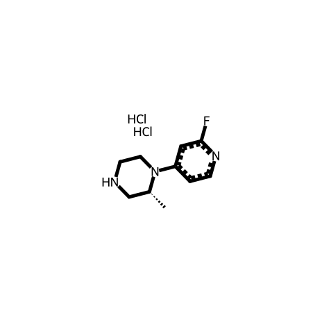 C[C@@H]1CNCCN1c1ccnc(F)c1.Cl.Cl